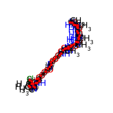 Cc1sc2c(c1C)C(c1ccc(Cl)cc1)=N[C@@H](CC(=O)Nc1ccc(OCCOCCOCCOCC(=O)N3CCN(CCOCCOCCOCCNC(=O)CCNC(=O)c4nc(NC(=O)CCNC(=O)c5cc(NC(=O)c6nc(NC(=O)CCNC(=O)c7nc(NC(=O)c8nccn8C)cn7C)cn6C)cn5C)cn4C)CC3)cc1)c1nnc(C)n1-2